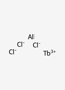 [Al].[Cl-].[Cl-].[Cl-].[Tb+3]